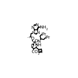 CC(C)CC(CC(C)C)=NO[P@@](=O)(CO[C@H](C)Cn1cnc2c(N)ncnc21)NC(C1CCC1)C(C)C(=O)O